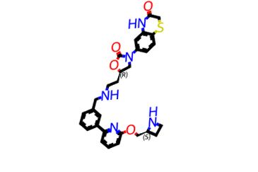 O=C1CSc2ccc(N3C[C@@H](CCNCc4cccc(-c5cccc(OC[C@@H]6CCN6)n5)c4)OC3=O)cc2N1